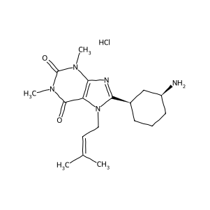 CC(C)=CCn1c([C@@H]2CCC[C@H](N)C2)nc2c1c(=O)n(C)c(=O)n2C.Cl